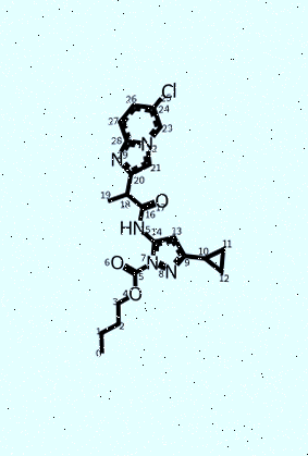 CCCCOC(=O)n1nc(C2CC2)cc1NC(=O)C(C)c1cn2cc(Cl)ccc2n1